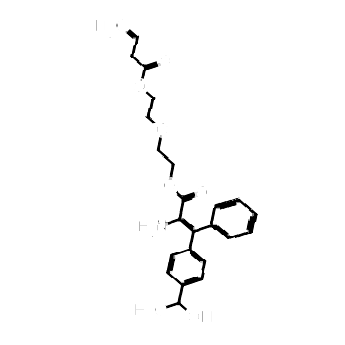 C=CCC(=O)OCCOCCOC(=O)/C(N)=C(\c1ccccc1)c1ccc(C(C)O)cc1